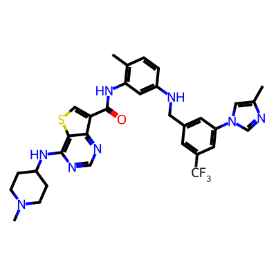 Cc1cn(-c2cc(CNc3ccc(C)c(NC(=O)c4csc5c(NC6CCN(C)CC6)ncnc45)c3)cc(C(F)(F)F)c2)cn1